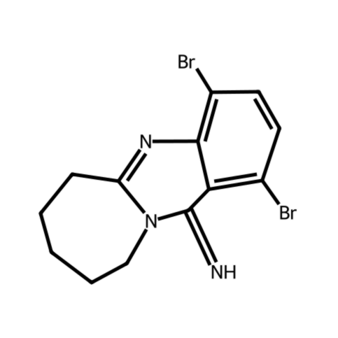 N=c1c2c(Br)ccc(Br)c2nc2n1CCCCC2